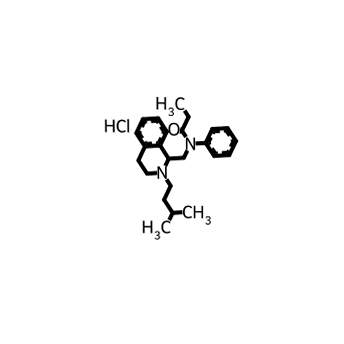 CCC(=O)N(CC1c2ccccc2CCN1CCC(C)C)c1ccccc1.Cl